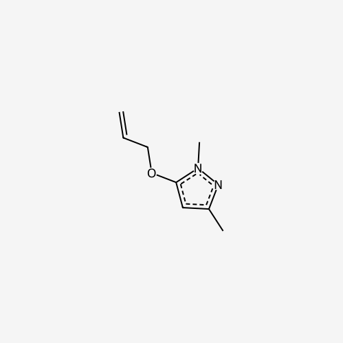 C=CCOc1cc(C)nn1C